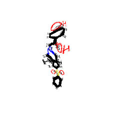 O=S(=O)(c1ccccc1)[C@@H]1C[C@@H]2CN(CC(O)c3ccc(O)cc3)C[C@@H]2C1